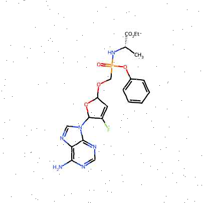 CCOC(=O)[C@H](C)NP(=O)(COC1C=C(F)C(n2cnc3c(N)ncnc32)O1)Oc1ccccc1